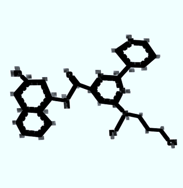 CCN(CCCC#N)c1cc(C(=O)Nc2cc(O)cc3ccccc23)nc(-c2cccnc2)n1